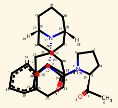 CC(=O)[C@@H]1CCCN1C(=O)N(c1ccccc1)[C@H]1C[C@H]2CCC[C@@H](C1)N2[C@H]1C[C@@H]2CCC[C@@H](C2)C1